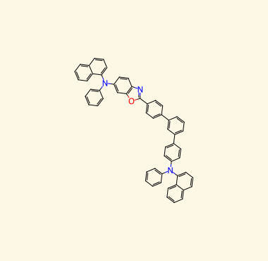 c1ccc(N(c2ccc(-c3cccc(-c4ccc(-c5nc6ccc(N(c7ccccc7)c7cccc8ccccc78)cc6o5)cc4)c3)cc2)c2cccc3ccccc23)cc1